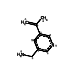 C=C(C)c1cncc(CN)c1